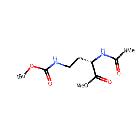 CNC(=O)N[C@@H](CCNC(=O)OC(C)(C)C)C(=O)OC